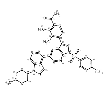 Cc1ccc(S(=O)(=O)n2cc(-c3ccc(C(N)=O)c(C)c3C)c3cc(-c4cccc5c4cnn5C4CCN(C)CC4)cnc32)cc1